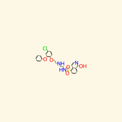 O=S(=O)(NCCNCCOc1ccc(Cl)cc1Oc1ccccc1)c1cccc2c(O)nccc12